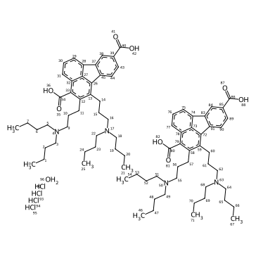 CCCCN(CCCC)CCCc1c(CCCN(CCCC)CCCC)c2c3c(cccc3c1C(=O)O)-c1cc(C(=O)O)ccc1-2.CCCCN(CCCC)CCCc1c(CCCN(CCCC)CCCC)c2c3c(cccc3c1C(=O)O)-c1cc(C(=O)O)ccc1-2.Cl.Cl.Cl.Cl.O